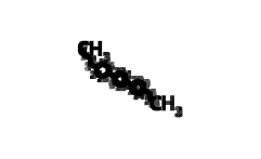 CCCCC1CCC(c2ccc(-c3ccc(CCC)cc3)cc2)CC1